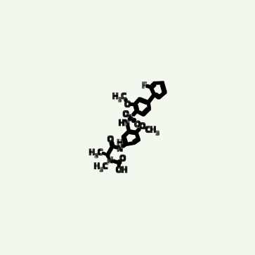 COc1ccc(NC(=O)[C@H](C)N(C)C(=O)O)cc1NS(=O)(=O)c1ccc(-c2ccccc2F)cc1OC